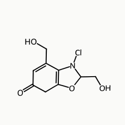 O=C1C=C(CO)C2=C(C1)OC(CO)N2Cl